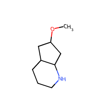 COC1CC2CCCNC2C1